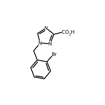 O=C(O)c1ncn(Cc2ccccc2Br)n1